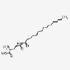 CCCCCCCCCCCCCCCC(=O)NC(=O)CC[C@H](N)C(=O)O